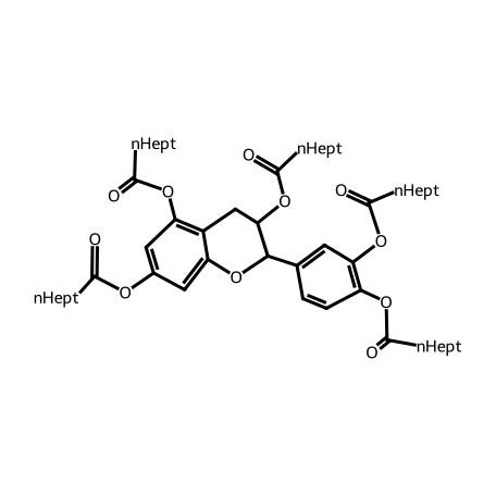 CCCCCCCC(=O)Oc1cc(OC(=O)CCCCCCC)c2c(c1)OC(c1ccc(OC(=O)CCCCCCC)c(OC(=O)CCCCCCC)c1)C(OC(=O)CCCCCCC)C2